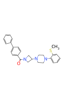 CSc1ccccc1N1CCN(C2CN(C(=O)c3ccc(-c4ccccc4)cc3)C2)CC1